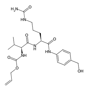 C=CCOC(=O)N[C@H](C(=O)N[C@@H](CCCNC(N)=O)C(=O)Nc1ccc(CO)cc1)C(C)C